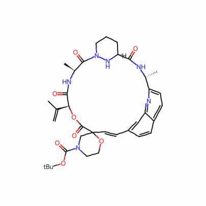 C=C(C)[C@@H]1OC(=O)C2(/C=C/c3ccc4ccc(nc4c3)[C@@H](C)NC(=O)[C@@H]3CCCN(N3)C(=O)[C@H](C)NC1=O)CN(C(=O)OC(C)(C)C)CCO2